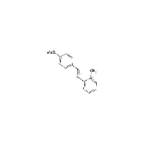 COc1ccc(/N=N/c2cccc[n+]2C)cc1